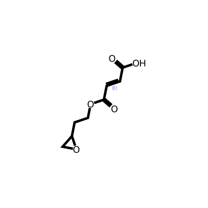 O=C(O)/C=C/C(=O)OCCC1CO1